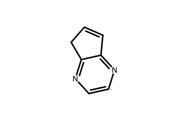 [c]1cnc2c(n1)C=CC2